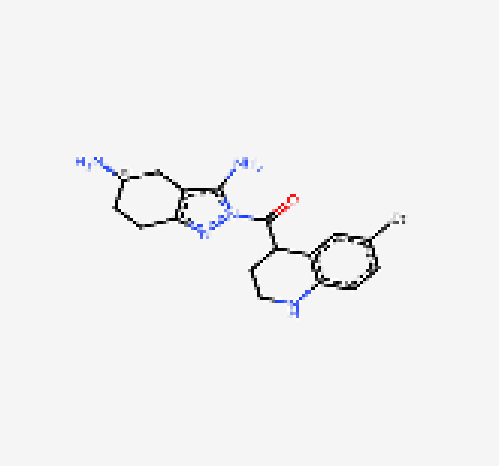 CCc1ccc2c(c1)C(C(=O)n1nc3c(c1N)C[C@H](N)CC3)CCN2